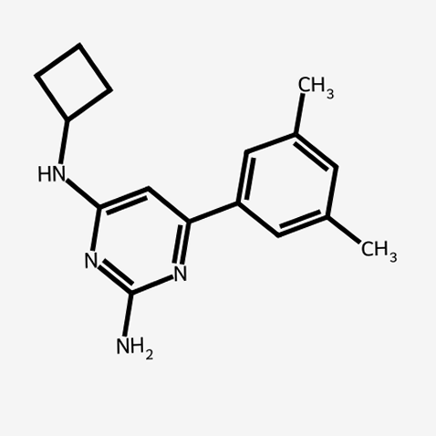 Cc1cc(C)cc(-c2cc(NC3CCC3)nc(N)n2)c1